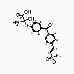 CC(C)(Oc1ccc(C(=O)c2ccc(C=CS(=O)(=O)F)cc2)cc1)C(=O)O